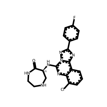 O=C1NCCNC[C@@H]1Nc1nc2c(Cl)cccc2c2nc(-c3ccc(F)cc3)nn12